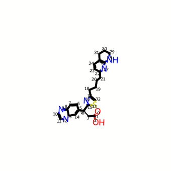 O=C(O)C[C@@H](c1ccc2nccnc2c1)c1nc(CCCCc2ccc3c(n2)NCCC3)cs1